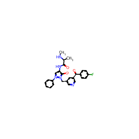 CNC(C)C(=O)Nc1cn(-c2ccccc2)n(Cc2cncc(C(=O)c3ccc(F)cc3)c2)c1=O